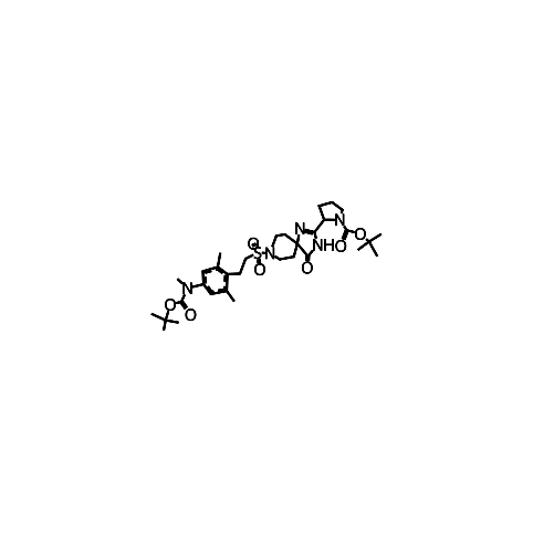 Cc1cc(N(C)C(=O)OC(C)(C)C)cc(C)c1CCS(=O)(=O)N1CCC2(CC1)N=C(C1CCCN1C(=O)OC(C)(C)C)NC2=O